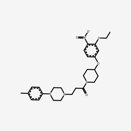 CCOc1cc(OC2CCN(C(=O)CCN3CCN(c4ccc(C)cc4)CC3)CC2)ccc1[N+](=O)[O-]